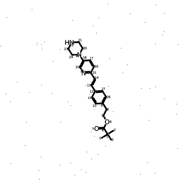 CC(C)(C)C(=O)OCCc1ccc(C=Cc2ccc(N3CCNCC3)cn2)cc1